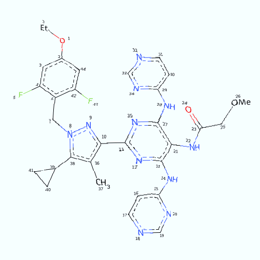 CCOc1cc(F)c(Cn2nc(-c3nc(Nc4ccncn4)c(NC(=O)COC)c(Nc4ccncn4)n3)c(C)c2C2CC2)c(F)c1